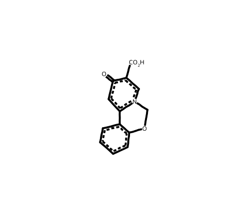 O=C(O)c1cn2c(cc1=O)-c1ccccc1OC2